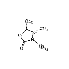 CC(=O)OC1OC(=O)N(C(C)(C)C)[C@H]1C